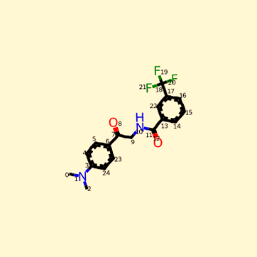 CN(C)c1ccc(C(=O)CNC(=O)c2cccc(C(F)(F)F)c2)cc1